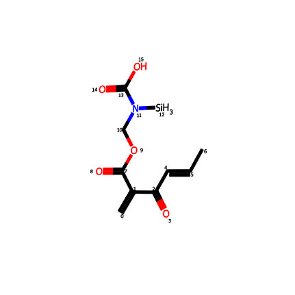 C=C(C(=O)C=CC)C(=O)OCN([SiH3])C(=O)O